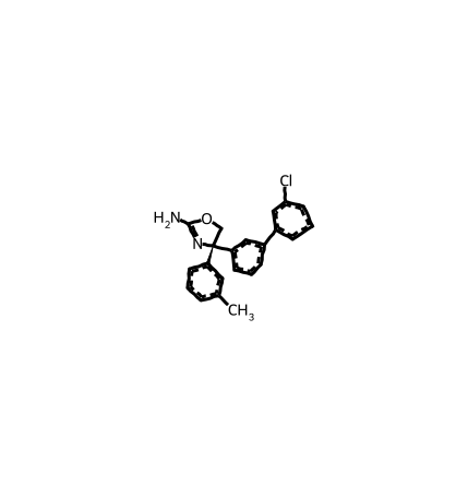 Cc1cccc([C@]2(c3cccc(-c4cccc(Cl)c4)c3)COC(N)=N2)c1